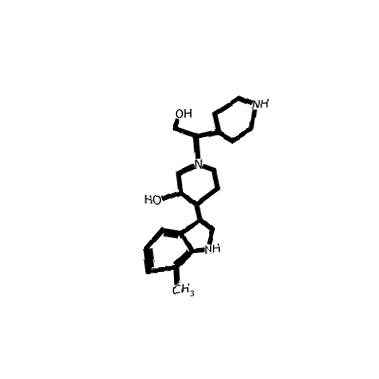 Cc1cccc2c1NCC2C1CCN(C(CO)C2CCNCC2)CC1O